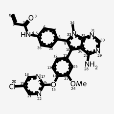 C=CC(=O)Nc1ccc(-c2c(-c3ccc(Oc4ncc(Cl)cn4)c(OC)c3)c3c(N)ncnc3n2C)cc1